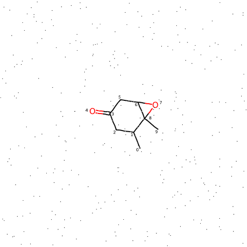 CC1CC(=O)CC2OC12C